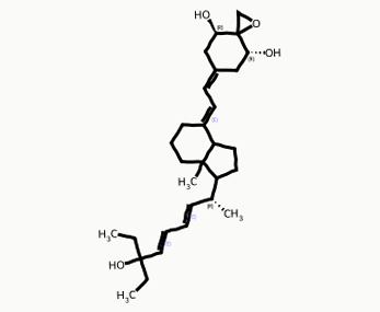 CCC(O)(/C=C/C=C/[C@@H](C)C1CCC2/C(=C/C=C3C[C@@H](O)C4(CO4)[C@H](O)C3)CCCC21C)CC